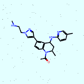 CNCCn1cc(-c2ccc3c(c2)C(Nc2ccc(C)cn2)CC(C)N3C(C)=O)cn1